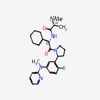 CN[C@@H](C)C(=O)N[C@H](C(=O)N1CCCC1c1cc(N(C)c2ccccn2)ccc1F)C1CCCCC1